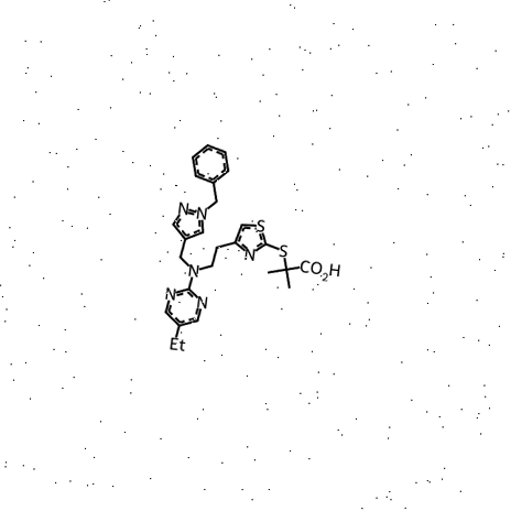 CCc1cnc(N(CCc2csc(SC(C)(C)C(=O)O)n2)Cc2cnn(Cc3ccccc3)c2)nc1